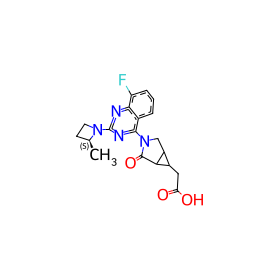 C[C@H]1CCN1c1nc(N2CC3C(CC(=O)O)C3C2=O)c2cccc(F)c2n1